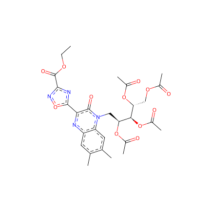 CCOC(=O)c1noc(-c2nc3cc(C)c(C)cc3n(C[C@H](OC(C)=O)[C@H](OC(C)=O)[C@@H](COC(C)=O)OC(C)=O)c2=O)n1